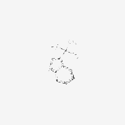 CC(C)(C)[n+]1csc2ccccc21